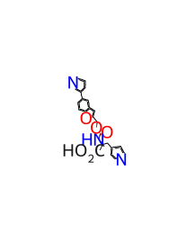 O=C(NC(Cc1ccncc1)C(=O)O)OCc1cc2cc(-c3cccnc3)ccc2o1